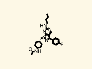 CCCCNc1ncc2c(-c3ccc(F)cc3)nn(C[C@H]3CC[C@H](NC(C)=O)CC3)c2n1